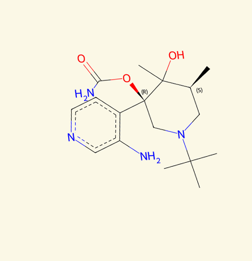 C[C@H]1CN(C(C)(C)C)C[C@](OC(N)=O)(c2ccncc2N)C1(C)O